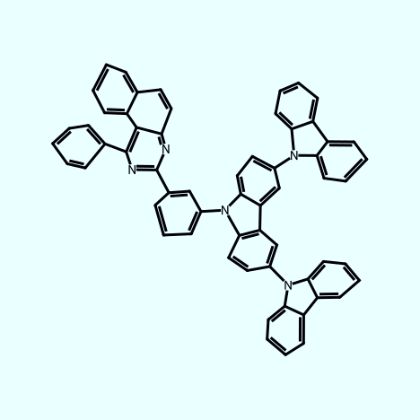 c1ccc(-c2nc(-c3cccc(-n4c5ccc(-n6c7ccccc7c7ccccc76)cc5c5cc(-n6c7ccccc7c7ccccc76)ccc54)c3)nc3ccc4ccccc4c23)cc1